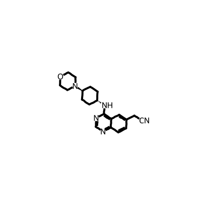 N#CCc1ccc2ncnc(N[C@H]3CC[C@H](N4CCOCC4)CC3)c2c1